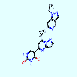 O=c1[nH]cc(-c2cc([C@H]3C[C@@H]3c3cc4c(cn3)cnn4CC(F)(F)F)n3nccc3n2)c(=O)[nH]1